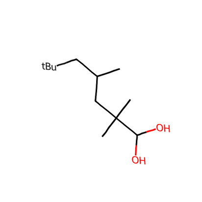 CC(CC(C)(C)C)CC(C)(C)C(O)O